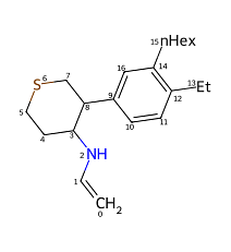 C=CNC1CCSCC1c1ccc(CC)c(CCCCCC)c1